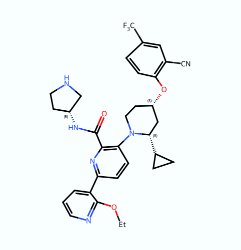 CCOc1ncccc1-c1ccc(N2CC[C@H](Oc3ccc(C(F)(F)F)cc3C#N)C[C@@H]2C2CC2)c(C(=O)N[C@@H]2CCNC2)n1